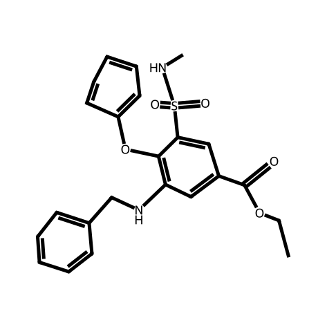 CCOC(=O)c1cc(NCc2ccccc2)c(Oc2ccccc2)c(S(=O)(=O)NC)c1